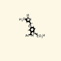 CC(=O)c1nn(CC(=O)O)c2ccc(OCc3cc(C)[nH]n3)cc12